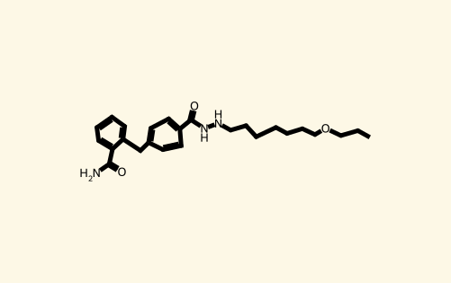 CCCOCCCCCCCNNC(=O)c1ccc(Cc2ccccc2C(N)=O)cc1